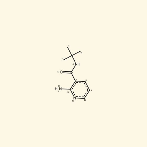 CC(C)(C)NC(=O)c1cccnc1N